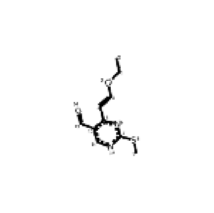 CCOC=Cc1nc(SC)ncc1C=O